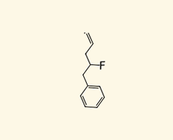 [CH]=CCC(F)Cc1ccccc1